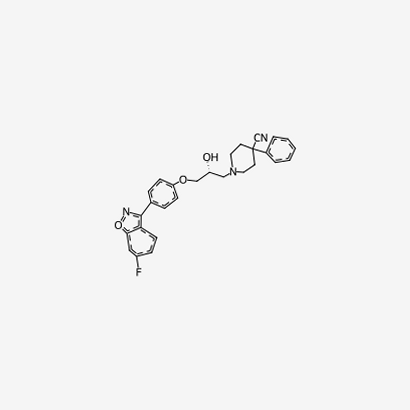 N#CC1(c2ccccc2)CCN(C[C@@H](O)COc2ccc(-c3noc4cc(F)ccc34)cc2)CC1